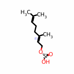 CC(C)=CCC/C(C)=C/CO[Si](=O)O